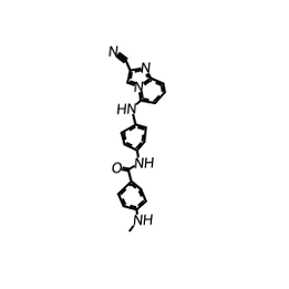 CNc1ccc(C(=O)Nc2ccc(Nc3cccc4nc(C#N)cn34)cc2)cc1